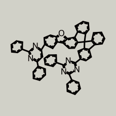 c1ccc(-c2cc(-c3ccc4oc5c6c(ccc5c4c3)C3(c4ccccc4-c4ccc(-c5nc(-c7ccccc7)nc(-c7ccccc7)n5)cc43)c3ccccc3-6)nc(-c3ccccc3)n2)cc1